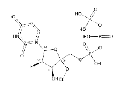 CCO[C@]1(COP(=O)(O)OP(=O)(O)OP(=O)(O)O)O[C@@H](n2ccc(=O)[nH]c2=O)[C@H](F)[C@@H]1O